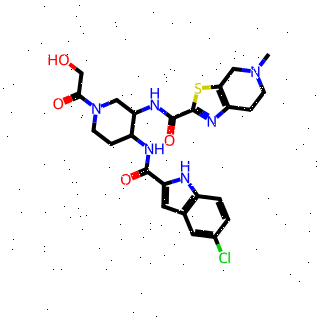 CN1CCc2nc(C(=O)NC3CN(C(=O)CO)CCC3NC(=O)c3cc4cc(Cl)ccc4[nH]3)sc2C1